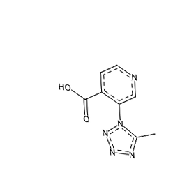 Cc1nnnn1-c1cnccc1C(=O)O